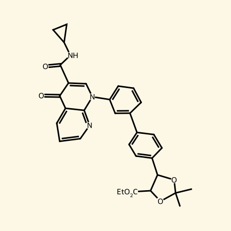 CCOC(=O)C1OC(C)(C)OC1c1ccc(-c2cccc(-n3cc(C(=O)NC4CC4)c(=O)c4cccnc43)c2)cc1